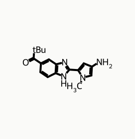 Cn1cc(N)cc1-c1nc2cc(C(=O)C(C)(C)C)ccc2[nH]1